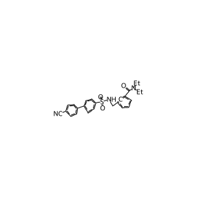 CCN(CC)C(=O)c1cccc(CNS(=O)(=O)c2ccc(-c3ccc(C#N)cc3)cc2)c1